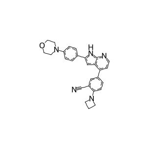 N#Cc1cc(-c2ccnc3[nH]c(-c4ccc(N5CCOCC5)cc4)cc23)ccc1N1CCC1